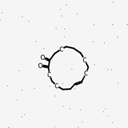 O=C1CCCCC/C=C/CCCCCCCCC1=O